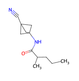 CCCC(C)C(=O)NC12CC(C#N)(C1)C2